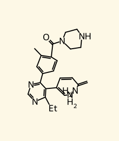 C=C(N)/C=C\C(=C/N)c1c(CC)ncnc1-c1ccc(C(=O)N2CCNCC2)c(C)c1